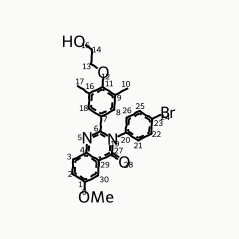 COc1ccc2nc(-c3cc(C)c(OCCO)c(C)c3)n(-c3ccc(Br)cc3)c(=O)c2c1